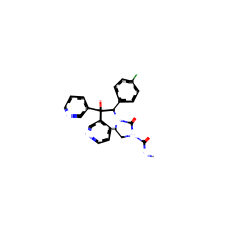 CCNC(=O)N1CCN(C(c2ccc(F)cc2)C(O)(c2cccnc2)c2cccnc2)C1=O